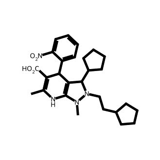 CC1=C(C(=O)O)C(c2ccccc2[N+](=O)[O-])C2=C(N1)N(C)N(CCC1CCCC1)C2C1CCCC1